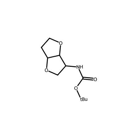 CC(C)(C)OC(=O)NC1COC2CCOC12